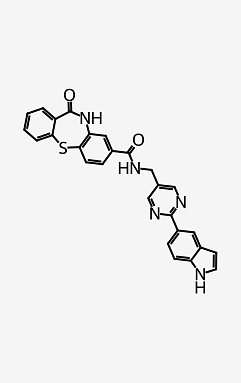 O=C(NCc1cnc(-c2ccc3[nH]ccc3c2)nc1)c1ccc2c(c1)NC(=O)c1ccccc1S2